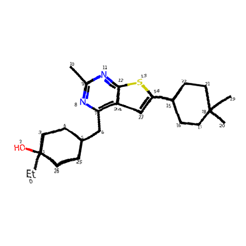 CCC1(O)CCC(Cc2nc(C)nc3sc(C4CCC(C)(C)CC4)cc23)CC1